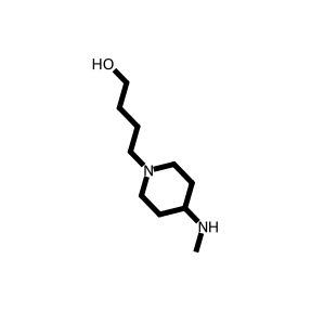 CNC1CCN(CCCCO)CC1